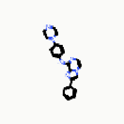 c1ccc(-c2cn3ccnc(Nc4ccc(N5CCNCC5)cc4)c3n2)cc1